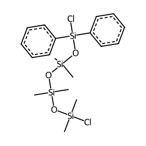 C[Si](C)(Cl)O[Si](C)(C)O[Si](C)(C)O[Si](Cl)(c1ccccc1)c1ccccc1